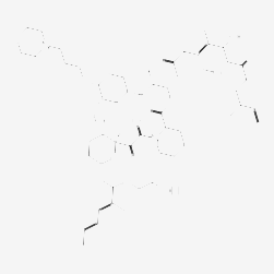 C=C[C@@H](C)C[C@@H](C)C(=O)[C@H](OC)[C@H](O)/C(C)=C/[C@@H](C)C(=O)C[C@H](OC(=O)C1CCCCN1C(=O)C(=O)[C@]1(O)O[C@H](CC(OCCO)/C(C)=C/C=C/C)CC[C@H]1C)[C@H](C)C[C@@H]1CC[C@@H](OCCCN2CCOC[C@H]2C)[C@H](OC)C1